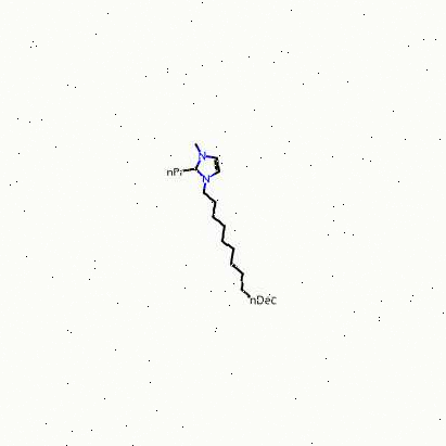 CCCCCCCCCCCCCCCCCCCN1C=CN(C)C1CCC